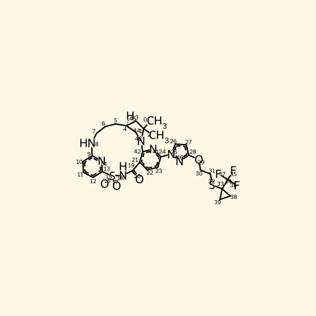 CC1(C)C[C@@H]2CCCNc3cccc(n3)S(=O)(=O)NC(=O)c3ccc(-n4ccc(OCCSC5(C(F)(F)F)CC5)n4)nc3N1C2